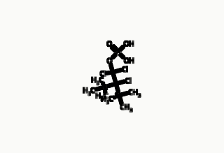 C[Si](C)(C)C(Cl)(C(Cl)(Cl)OP(=O)(O)O)[Si](C)(C)C